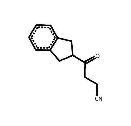 N#CCCC(=O)C1Cc2ccccc2C1